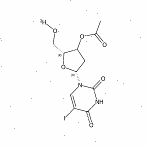 [2H]OC[C@H]1O[C@@H](n2cc(I)c(=O)[nH]c2=O)CC1OC(C)=O